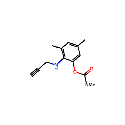 C#CCNc1c(C)cc(C)cc1OC(=O)NC